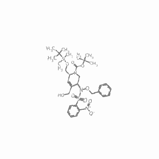 CC(C)(C)OC(=O)N1CC(N(OCc2ccccc2)S(=O)(=O)c2ccccc2[N+](=O)[O-])C(CO)=C[C@H]1CO[Si](C)(C)C(C)(C)C